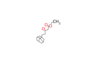 CCOC(=O)CC(=O)CCC12CC3CC(CC(C3)C1)C2